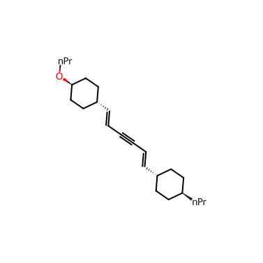 CCCO[C@H]1CC[C@H](C=CC#CC=C[C@H]2CC[C@H](CCC)CC2)CC1